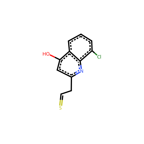 Oc1cc(CC=S)nc2c(Cl)cccc12